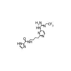 NC(=NCC(F)(F)F)Nc1ccnc(CCCCNC(=O)c2n[c]c[nH]2)n1